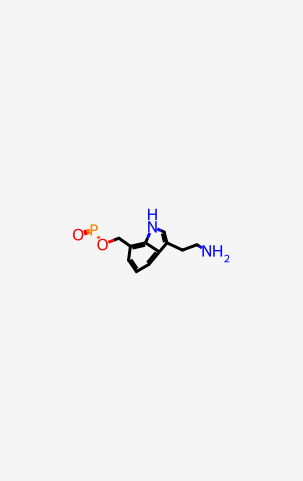 NCCc1c[nH]c2c(COP=O)cccc12